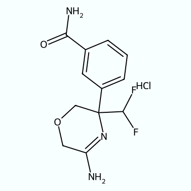 Cl.NC(=O)c1cccc(C2(C(F)F)COCC(N)=N2)c1